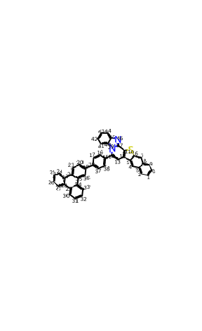 c1ccc2cc3c(cc2c1)sc1c3cc(-c2ccc(-c3ccc4c5ccccc5c5ccccc5c4c3)cc2)n2c3ccccc3nc12